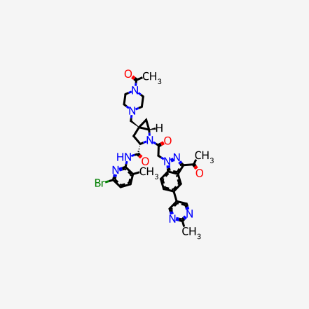 CC(=O)c1nn(CC(=O)N2[C@H]3C[C@@]3(CN3CCN(C(C)=O)CC3)C[C@H]2C(=O)Nc2nc(Br)ccc2C)c2ccc(-c3cnc(C)nc3)cc12